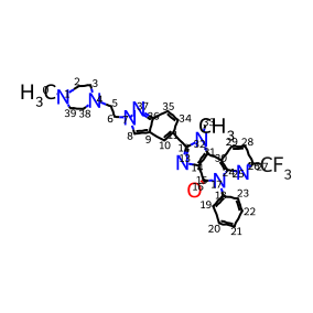 CN1CCN(CCn2cc3cc(-c4nc5c(=O)n(-c6ccccc6)c6nc(C(F)(F)F)ccc6c5n4C)ccc3n2)CC1